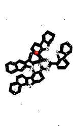 c1ccc2cc3c(cc2c1)c1ccccc1n3-c1c(-c2nc(-c3cccc4c3sc3ccccc34)nc(-c3cccc4c3sc3ccccc34)n2)ccc2sc3c4ccccc4ccc3c12